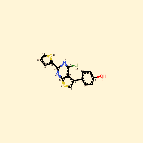 Oc1ccc(-c2csc3nc(-c4cccs4)nc(Cl)c23)cc1